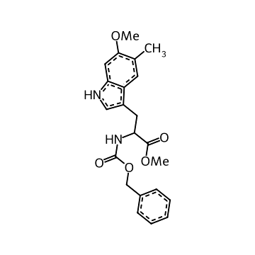 COC(=O)C(Cc1c[nH]c2cc(OC)c(C)cc12)NC(=O)OCc1ccccc1